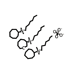 CCCCCCC[N+](C)(C)C1CCCCCCC1.CCCCCCC[N+](C)(C)C1CCCCCCC1.CCCCCCC[N+](C)(C)C1CCCCCCC1.O=P([O-])([O-])[O-]